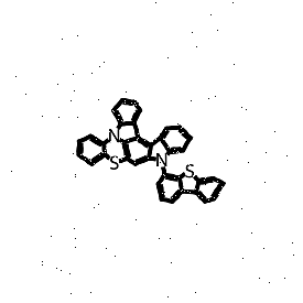 c1ccc2c(c1)Sc1cc3c(c4ccccc4n3-c3cccc4c3sc3ccccc34)c3c4ccccc4n-2c13